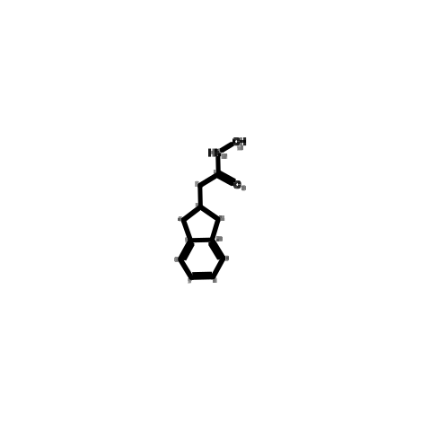 O=C(CC1Cc2ccccc2C1)NO